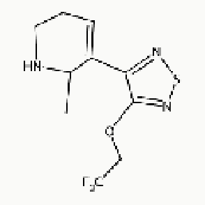 CC1NCCC=C1c1nsnc1OCC(F)(F)F